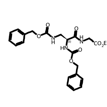 CCOC(=O)CNC(=O)[C@H](CNC(=O)OCc1ccccc1)NC(=O)OCc1ccccc1